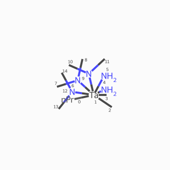 CC[CH2][Ta]([CH3])([CH3])([NH2])([NH2])([N](C)C)([N](C)C)[N](C)C